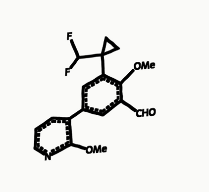 COc1ncccc1-c1cc(C=O)c(OC)c(C2(C(F)F)CC2)c1